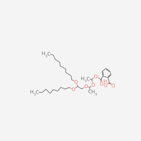 CCCCCCCCCOC(COC(C)OC(C)OC(=O)c1ccccc1C(=O)O)OCCCCCCCCC